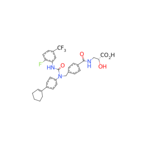 O=C(NC[C@@H](O)C(=O)O)c1ccc(CN(C(=O)Nc2cc(C(F)(F)F)ccc2F)c2ccc(C3=CCCCC3)cc2)cc1